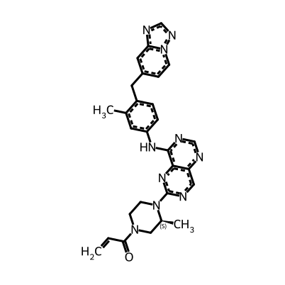 C=CC(=O)N1CCN(c2ncc3ncnc(Nc4ccc(Cc5ccn6ncnc6c5)c(C)c4)c3n2)[C@@H](C)C1